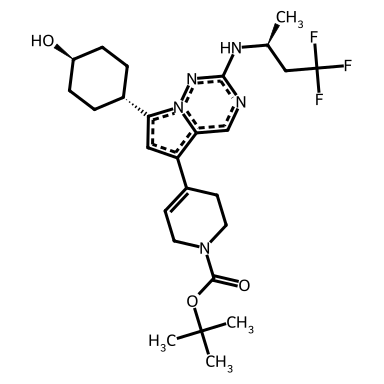 C[C@@H](CC(F)(F)F)Nc1ncc2c(C3=CCN(C(=O)OC(C)(C)C)CC3)cc([C@H]3CC[C@H](O)CC3)n2n1